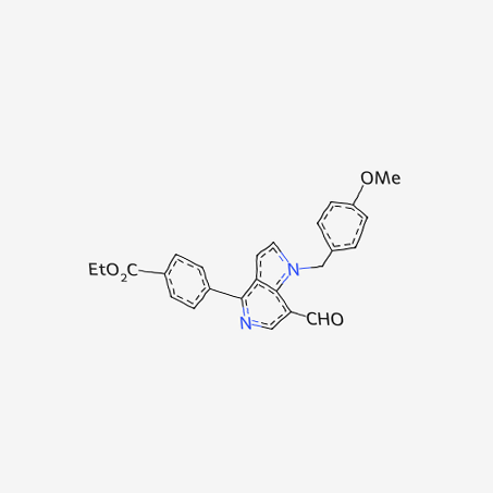 CCOC(=O)c1ccc(-c2ncc(C=O)c3c2ccn3Cc2ccc(OC)cc2)cc1